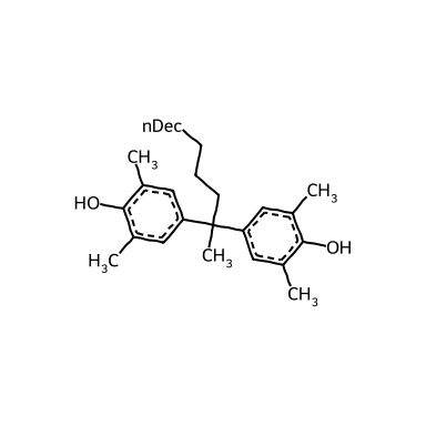 CCCCCCCCCCCCCC(C)(c1cc(C)c(O)c(C)c1)c1cc(C)c(O)c(C)c1